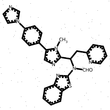 Cn1c(-c2ccc(-n3ccnc3)cc2)cnc1C(Cc1ccccn1)N(C=O)c1nc2ccccc2s1